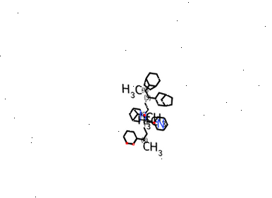 C[C@H](C1C2CCCC1CC2)[C@@H](CC[C@H](C1C2CC1CN(C)C2)[C@@H](CC[C@@H](C)C12CCC(CC1)CC2)C1CC2CC(C1)N2C)C1CC2CCC(C2)C1